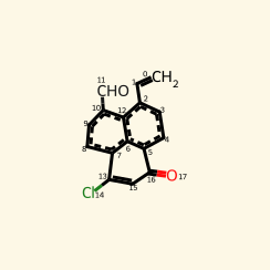 C=Cc1ccc2c3c(ccc(C=O)c13)C(Cl)=CC2=O